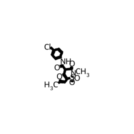 Cc1cc2c(o1)C(C(=O)Nc1ccc(Cl)cc1)C(=O)N(C)S2(=O)=O